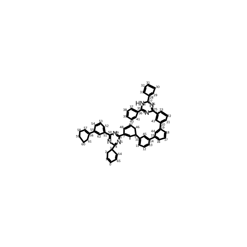 C1=CCC(c2nc(C3=CC(c4cccc(-c5cccc(-c6cccc(C7=NC(c8ccccc8)NC(c8ccccc8)=N7)c6)c5)c4)CC=C3)nc(-c3cccc(C4=CCCCC4)c3)n2)C=C1